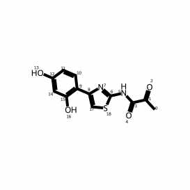 CC(=O)C(=O)Nc1nc(-c2ccc(O)cc2O)cs1